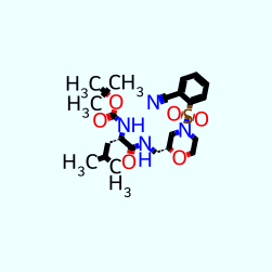 CC(C)C[C@H](NC(=O)OC(C)(C)C)C(=O)NC[C@@H]1CN(S(=O)(=O)c2ccccc2C#N)CCO1